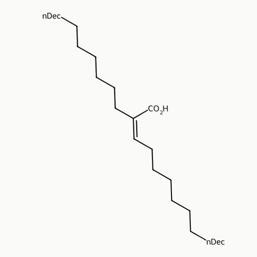 CCCCCCCCCCCCCCCC/C=C(/CCCCCCCCCCCCCCCC)C(=O)O